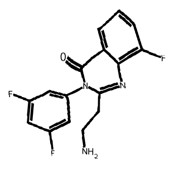 NCCc1nc2c(F)cccc2c(=O)n1-c1cc(F)cc(F)c1